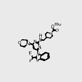 CC(C)(C)OC(=O)N1CCC(CNc2nc(N3CCOCC3)cc(-n3c(C(F)F)nc4ccccc43)n2)CC1